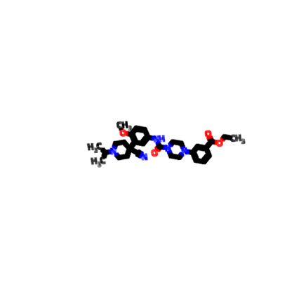 CCOC(=O)c1cccc(N2CCN(C(=O)Nc3ccc(OC)c(C4(C#N)CCN(C(C)C)CC4)c3)CC2)c1